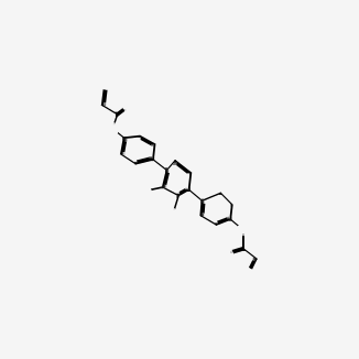 C=CC(=O)OC1=CC=C(c2ccc(-c3ccc(OC(=O)C=C)cc3)c(F)c2F)CC1